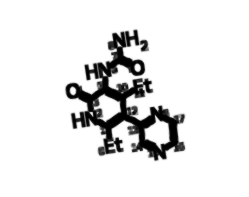 CCc1[nH]c(=O)c(NC(N)=O)c(CC)c1-c1cnccn1